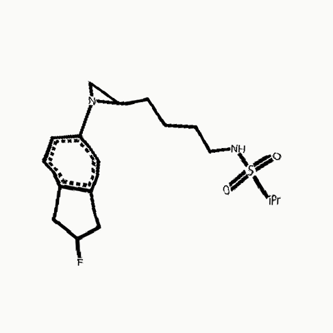 CC(C)S(=O)(=O)NCCCCC1CN1c1ccc2c(c1)CC(F)C2